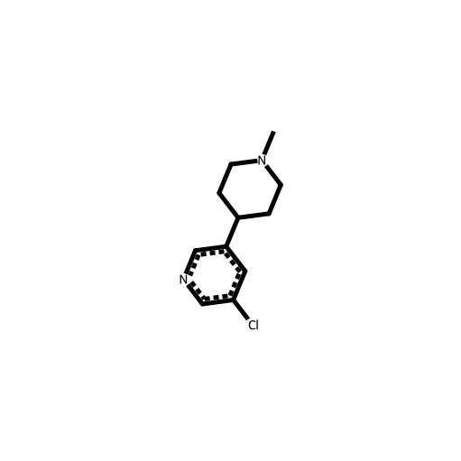 CN1CCC(c2cncc(Cl)c2)CC1